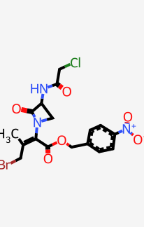 CC(CBr)=C(C(=O)OCc1ccc([N+](=O)[O-])cc1)N1CC(NC(=O)CCl)C1=O